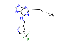 CCCCC#Cc1nc(NCc2cncc(C(F)(F)F)c2)c2[nH]cnc2n1